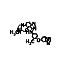 Cc1cc(Nc2ncnc3ccc4c(c23)OC[C@H]2CN4CCN2C)ccc1Oc1ccn2ncnc2c1